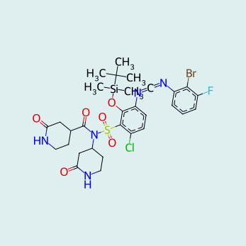 CC(C)(C)[Si](C)(C)Oc1c(N=C=Nc2cccc(F)c2Br)ccc(Cl)c1S(=O)(=O)N(C(=O)C1CCNC(=O)C1)C1CCNC(=O)C1